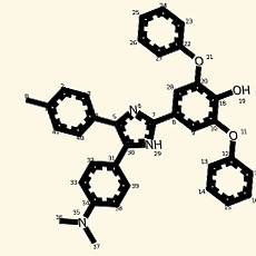 Cc1ccc(-c2nc(-c3cc(Oc4ccccc4)c(O)c(Oc4ccccc4)c3)[nH]c2-c2ccc(N(C)C)cc2)cc1